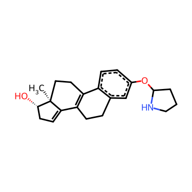 C[C@]12CCC3=C(CCc4cc(OC5CCCN5)ccc43)C1=CC[C@@H]2O